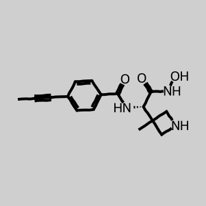 CC#Cc1ccc(C(=O)N[C@H](C(=O)NO)C2(C)CNC2)cc1